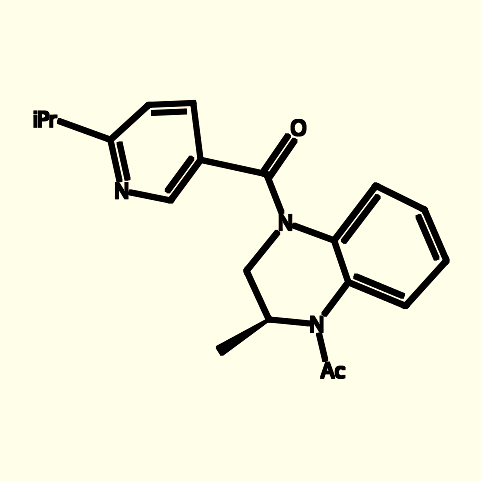 CC(=O)N1c2ccccc2N(C(=O)c2ccc(C(C)C)nc2)C[C@@H]1C